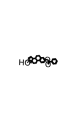 CC12CCC3c4ccc(OC(=O)c5ccccc5)cc4CCC3C1C=C[C@@H]2O